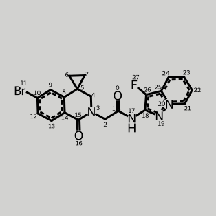 O=C(CN1CC2(CC2)c2cc(Br)ccc2C1=O)Nc1nn2ccccc2c1F